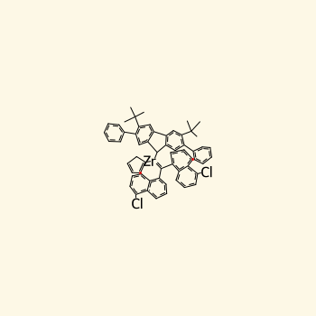 CC(C)(C)c1cc2c(cc1-c1ccccc1)[CH]([Zr]([C]1=CC=CC1)=[C](c1cccc3c(Cl)cccc13)c1cccc3c(Cl)cccc13)c1cc(-c3ccccc3)c(C(C)(C)C)cc1-2